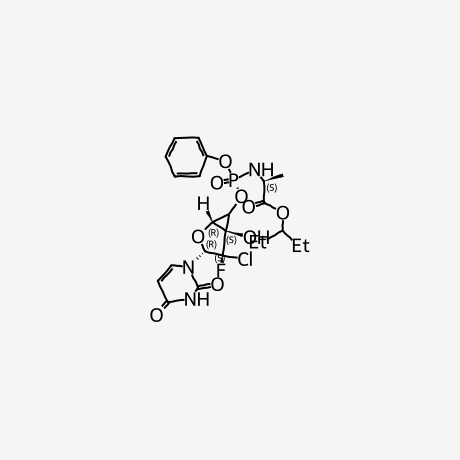 CCC(CC)OC(=O)[C@H](C)NP(=O)(Oc1ccccc1)OC1[C@H]2O[C@@H](n3ccc(=O)[nH]c3=O)[C@@](F)(Cl)[C@@]12O